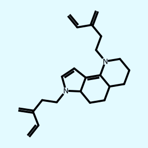 C=CC(=C)CCN1CCCC2CCC3C(=C21)C=CN3CCC(=C)C=C